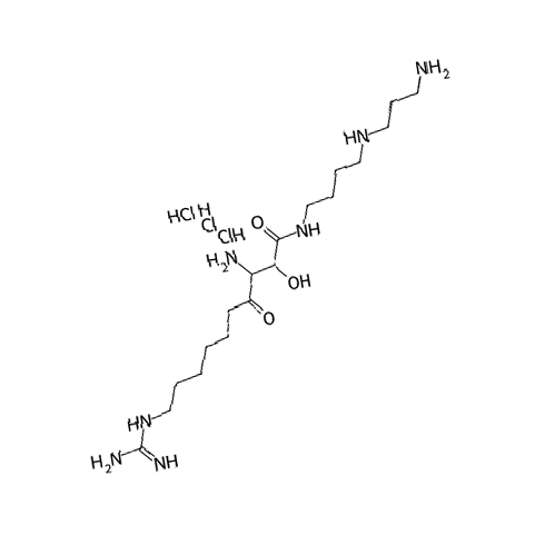 Cl.Cl.Cl.N=C(N)NCCCCCCC(=O)C(N)C(O)C(=O)NCCCCNCCCN